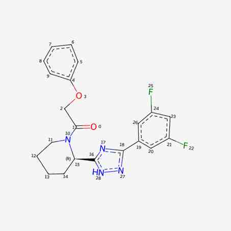 O=C(COc1ccccc1)N1CCCC[C@@H]1c1nc(-c2cc(F)cc(F)c2)n[nH]1